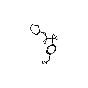 NCc1ccc(C2(C(=O)OC3CCCCC3)CO2)cc1